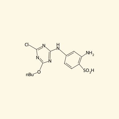 CCCCOc1nc(Cl)nc(Nc2ccc(S(=O)(=O)O)c(N)c2)n1